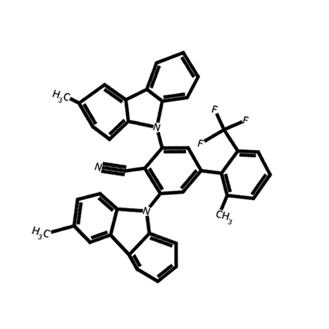 Cc1ccc2c(c1)c1ccccc1n2-c1cc(-c2c(C)cccc2C(F)(F)F)cc(-n2c3ccccc3c3cc(C)ccc32)c1C#N